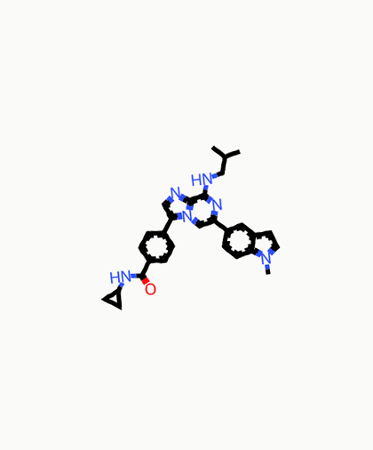 CC(C)CNc1nc(-c2ccc3c(ccn3C)c2)cn2c(-c3ccc(C(=O)NC4CC4)cc3)cnc12